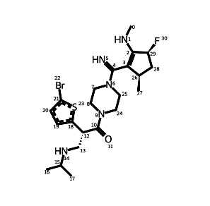 CNC1=C(C(=N)N2CCN(C(=O)[C@H](CNC(C)C)c3ccc(Br)s3)CC2)[C@H](C)C[C@@H]1F